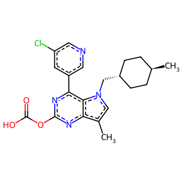 Cc1cn(C[C@H]2CC[C@H](C)CC2)c2c(-c3cncc(Cl)c3)nc(OC(=O)O)nc12